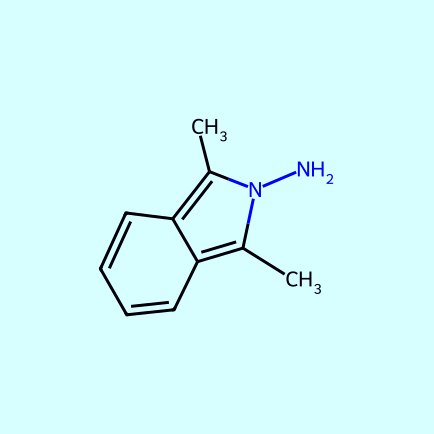 Cc1c2ccccc2c(C)n1N